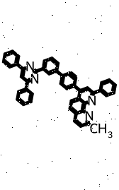 Cc1ccc2ccc3c(-c4c#cc(-c5cccc(-c6nc(-c7ccccc7)cc(-c7ccccc7)n6)c5)cc4)cc(-c4ccccc4)nc3c2n1